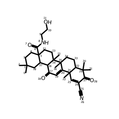 CC1(C)CCC2(C(=O)NCCO)CCC3(C)C(C(=O)C=C4C5(C)C=C(C#N)C(=O)C(C)(C)C5CCC43C)C2C1